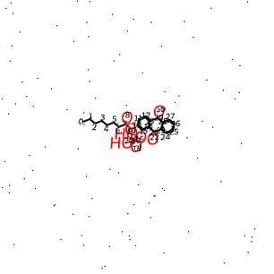 CCCCCCCC(=O)Oc1ccc2c(c1OP(=O)(O)O)C(=O)c1ccccc1C2=O